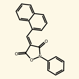 O=C1ON(c2ccccc2)C(=O)C1=Cc1cccc2ccccc12